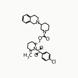 C[C@@H]1CCC[C@H](COC(=O)N2CCCC(N3CCc4ccccc4C3)C2)N1S(=O)(=O)c1ccc(Cl)cc1